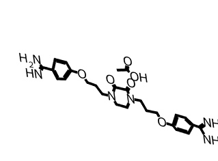 CC(=O)O.N=C(N)c1ccc(OCCCN2CCN(CCCOc3ccc(C(=N)N)cc3)C(=O)C2=O)cc1